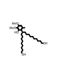 COc1cc(C)c(C(CCCCCCCCCO)CCCCCCCCCCO)c(O)c1OC